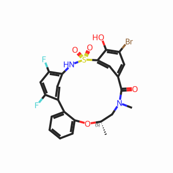 C[C@H]1CN(C)C(=O)c2cc(Br)c(O)c(c2)S(=O)(=O)Nc2cc(c(F)cc2F)-c2ccccc2O1